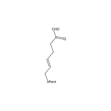 CCCCCCC=CCCC(=O)C=O